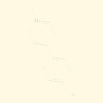 CC(C)(C)c1ccc(-c2cc[n+]([O-])cc2)cc1